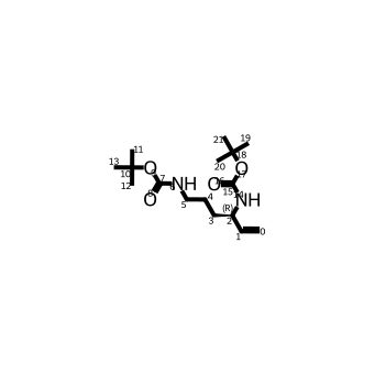 C=C[C@@H](CCCNC(=O)OC(C)(C)C)NC(=O)OC(C)(C)C